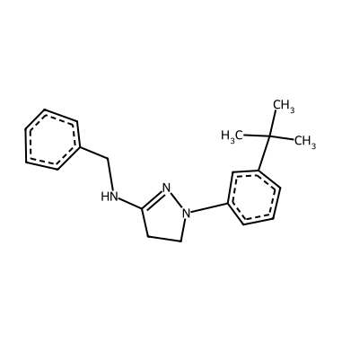 CC(C)(C)c1cccc(N2CCC(NCc3ccccc3)=N2)c1